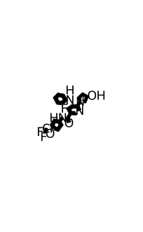 O=C(Nc1ccc(OC(F)(F)Cl)cc1)c1cnc(N2CC[C@@H](O)C2)c(Nc2ccccc2F)c1